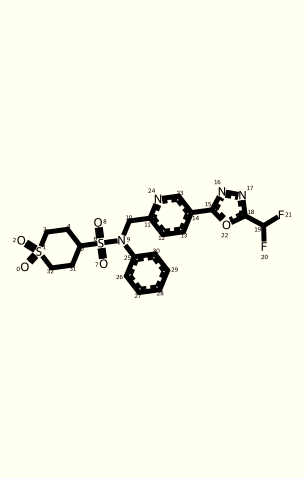 O=S1(=O)CCC(S(=O)(=O)N(Cc2ccc(-c3nnc(C(F)F)o3)cn2)c2ccccc2)CC1